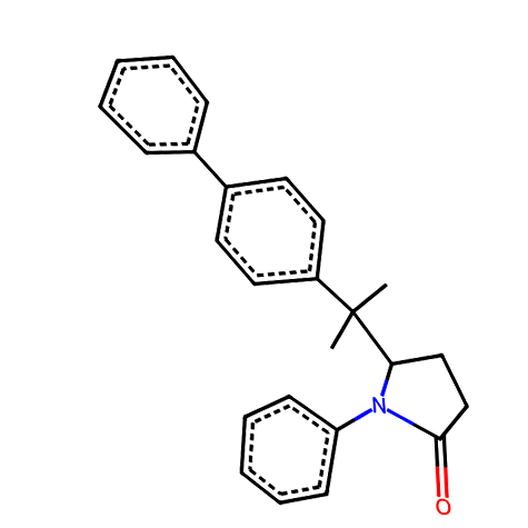 CC(C)(c1ccc(-c2ccccc2)cc1)C1CCC(=O)N1c1ccccc1